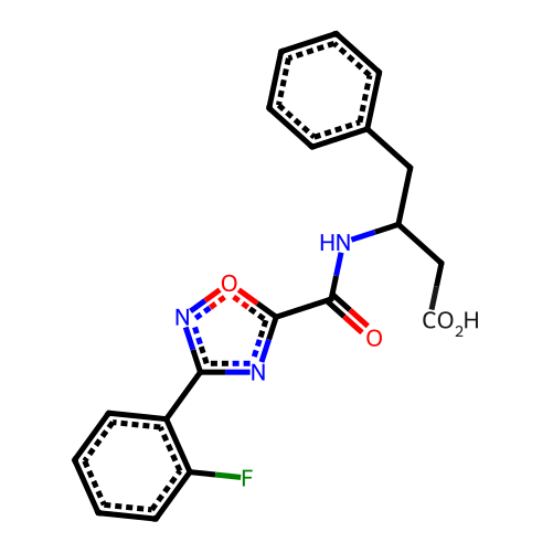 O=C(O)CC(Cc1ccccc1)NC(=O)c1nc(-c2ccccc2F)no1